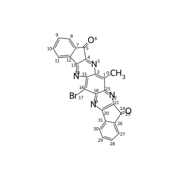 Cc1c2nc3c(=O)c4ccccc4c3nc2c(Br)c2nc3c(nc12)c(=O)c1ccccc13